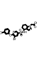 O=C(O)Cn1ncc2c1CCCC2NS(=O)(=O)c1cnc(Oc2cccc(Cl)c2)c(Br)c1